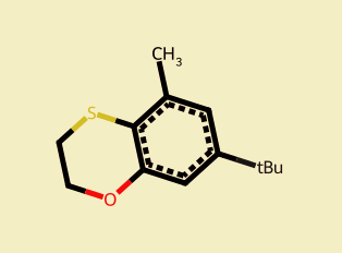 Cc1cc(C(C)(C)C)cc2c1SCCO2